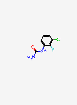 NC(=O)Nc1cccc(Cl)c1F